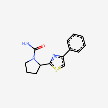 NC(=O)N1CCCC1c1nc(-c2ccccc2)cs1